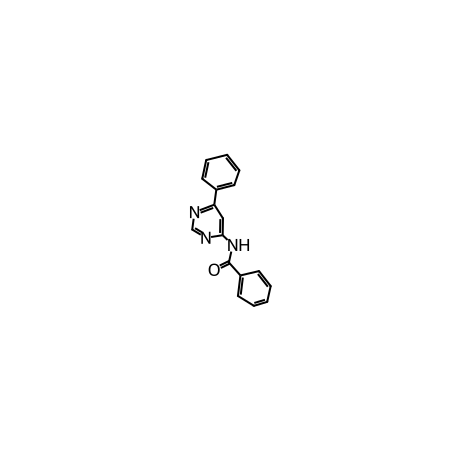 O=C(Nc1cc(-c2ccccc2)ncn1)c1ccccc1